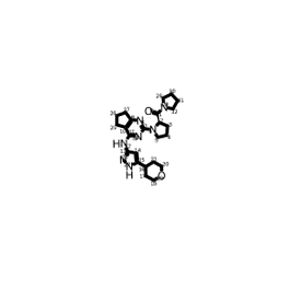 O=C([C@H]1CCCN1c1nc2c(c(Nc3cc(C4CCOCC4)[nH]n3)n1)CCC2)N1CCCC1